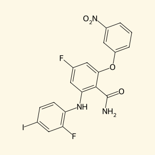 NC(=O)c1c(Nc2ccc(I)cc2F)cc(F)cc1Oc1cccc([N+](=O)[O-])c1